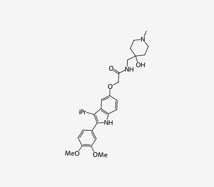 COc1ccc(-c2[nH]c3ccc(OCC(=O)NCC4(O)CCN(C)CC4)cc3c2C(C)C)cc1OC